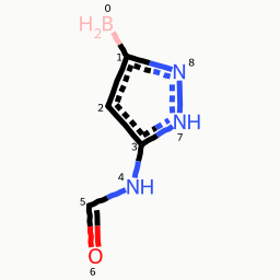 Bc1cc(NC=O)[nH]n1